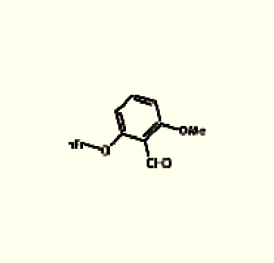 CCCOc1cccc(OC)c1C=O